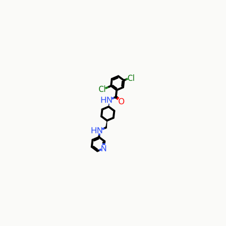 O=C(N[C@H]1CC[C@H](CNc2cccnc2)CC1)c1cc(Cl)ccc1Cl